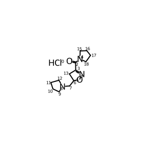 Cl.O=C(C1=NOC(CN2CCCC2)C1)N1CCCC1